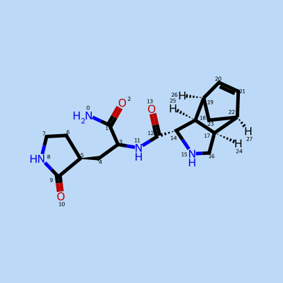 NC(=O)C(C[C@@H]1CCNC1=O)NC(=O)[C@H]1NC[C@H]2[C@@H]1[C@H]1C=C[C@@H]2C1